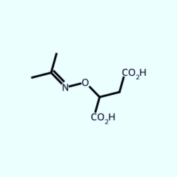 CC(C)=NOC(CC(=O)O)C(=O)O